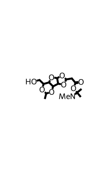 CNC(C)(C)OC(=O)CC1OC2OC3C(CO)OC(C)OC3C2O1